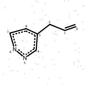 C=CCc1[c]nncc1